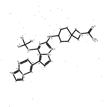 [2H]C([2H])([2H])Oc1nc(NC2CCC3(CC2)CN(C(C)=O)C3)nn2ccc(-c3cnc4nccn4c3)c12